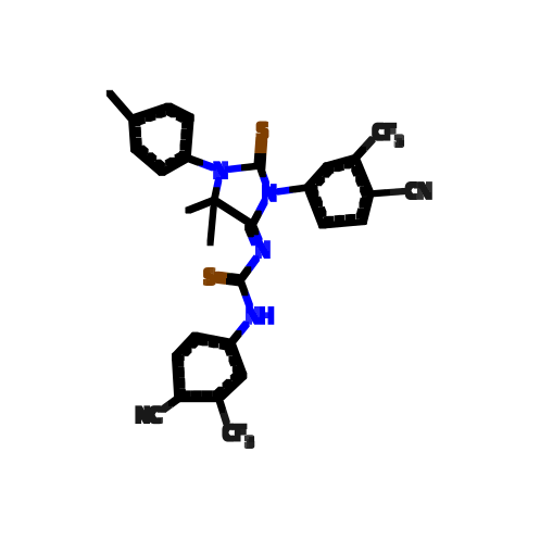 Cc1ccc(N2C(=S)N(c3ccc(C#N)c(C(F)(F)F)c3)C(=NC(=S)Nc3ccc(C#N)c(C(F)(F)F)c3)C2(C)C)cc1